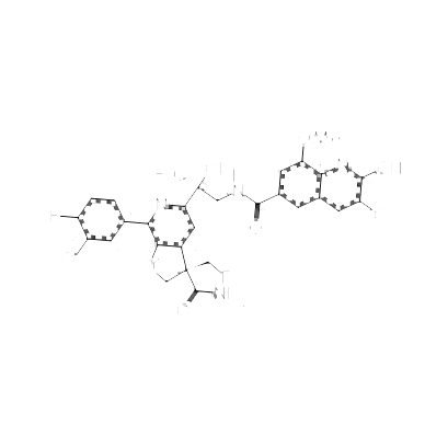 COc1cc(C(=O)NC[C@](O)(c2cc3c(c(-c4ccc(F)c(Cl)c4)n2)OC[C@@]3(CF)C(N)=O)C(F)(F)F)cc2cc(Cl)c(C)nc12